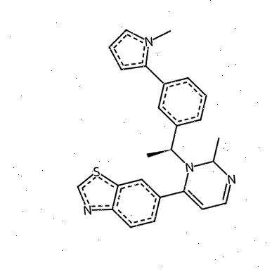 CC1N=CC=C(c2ccc3ncsc3c2)N1[C@@H](C)c1cccc(-c2cccn2C)c1